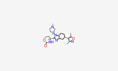 Cc1noc(C)c1-c1ccc2c(c1)nc([C@@H]1CCOC(=O)N1)n2[C@H]1CCN(C)C1